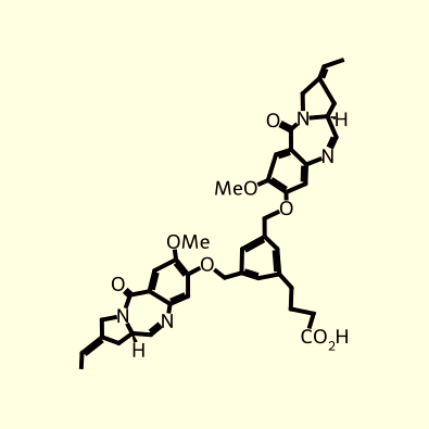 C/C=C1\C[C@H]2C=Nc3cc(OCc4cc(CCCC(=O)O)cc(COc5cc6c(cc5OC)C(=O)N5C/C(=C/C)C[C@H]5C=N6)c4)c(OC)cc3C(=O)N2C1